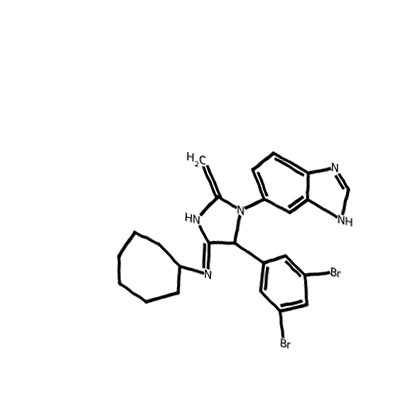 C=C1N/C(=N\C2CCCCCC2)C(c2cc(Br)cc(Br)c2)N1c1ccc2nc[nH]c2c1